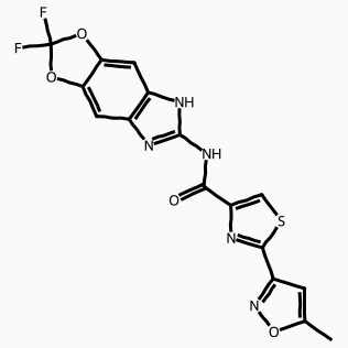 Cc1cc(-c2nc(C(=O)Nc3nc4cc5c(cc4[nH]3)OC(F)(F)O5)cs2)no1